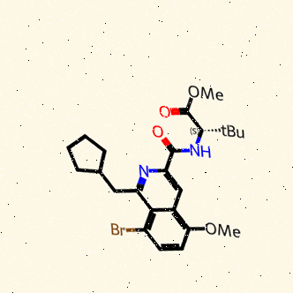 COC(=O)[C@@H](NC(=O)c1cc2c(OC)ccc(Br)c2c(CC2CCCC2)n1)C(C)(C)C